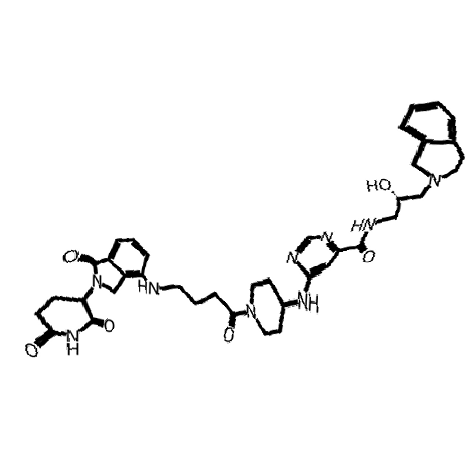 O=C1CCC(N2Cc3c(NCCCC(=O)N4CCC(Nc5cc(C(=O)NC[C@H](O)CN6CCc7ccccc7C6)ncn5)CC4)cccc3C2=O)C(=O)N1